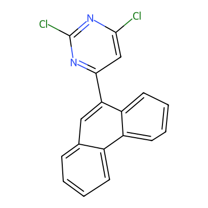 Clc1cc(-c2cc3ccccc3c3ccccc23)nc(Cl)n1